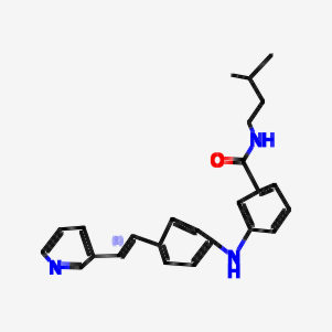 CC(C)CCNC(=O)c1cccc(Nc2ccc(/C=C/c3cccnc3)cc2)c1